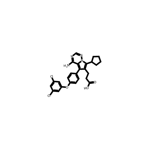 Nc1ncnn2c(C3CCCC3)c(CCC(=O)O)c(-c3ccc(Oc4cc(Cl)cc(Cl)c4)cc3)c12